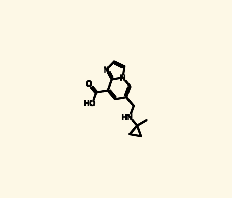 CC1(NCc2cc(C(=O)O)c3nccn3c2)CC1